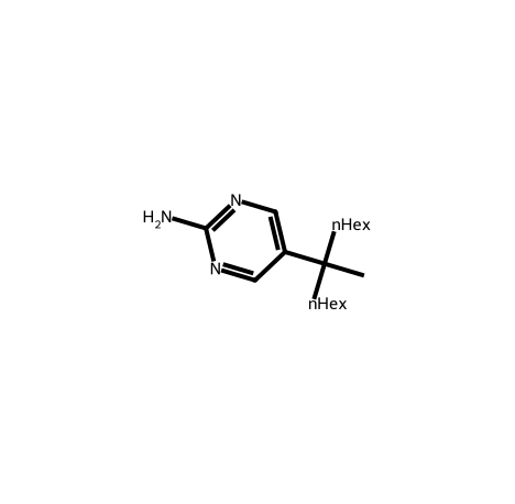 CCCCCCC(C)(CCCCCC)c1cnc(N)nc1